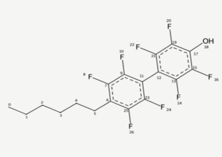 CCCCCCc1c(F)c(F)c(-c2c(F)c(F)c(O)c(F)c2F)c(F)c1F